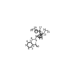 C=Cc1ccccc1CCCO[SiH](CCC)C(C)OCC